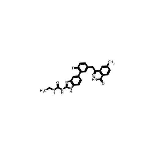 CCNC(=O)Nc1nc2cc(-c3cc(Cc4n[nH]c(=O)c5ccc(C)cc45)ccc3F)ccc2[nH]1